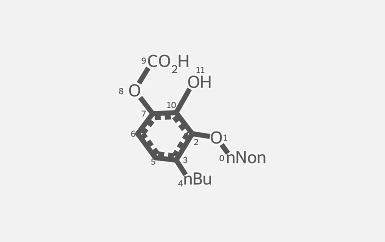 CCCCCCCCCOc1c(CCCC)ccc(OC(=O)O)c1O